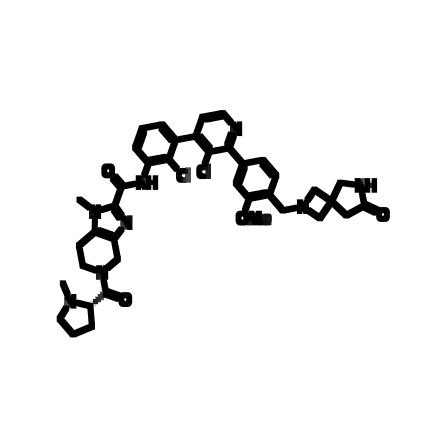 COc1cc(-c2nccc(-c3cccc(NC(=O)c4nc5c(n4C)CCN(C(=O)[C@@H]4CCCN4C)C5)c3Cl)c2Cl)ccc1CN1CC2(CNC(=O)C2)C1